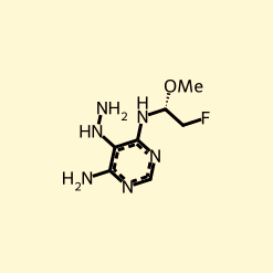 CO[C@H](CF)Nc1ncnc(N)c1NN